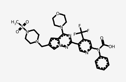 CS(=O)(=O)N1CCN(Cc2cc3c(N4CCOCC4)nc(-c4cnc(N(C(=O)O)c5ccccc5)cc4C(F)(F)F)nn3c2)CC1